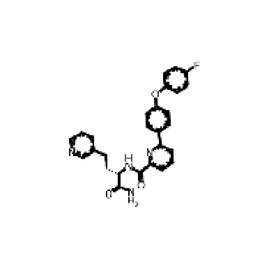 NC(=O)[C@H](CCc1cccnc1)NC(=O)c1cccc(-c2ccc(Oc3ccc(F)cc3)cc2)n1